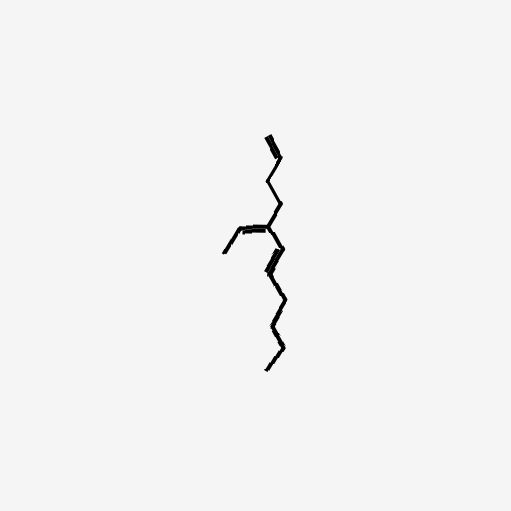 C=CCCC(C=CCCCC)=CC